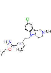 C=C/C(=C\C=C(/N)OCC)CCn1c2c(c3cc(Cl)ccc31)CN(C)CC2